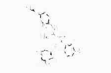 Cc1ncc(OCC2(c3cccc(Cl)c3)CC2C(O)Nc2ccc(C#N)cn2)c(C)n1